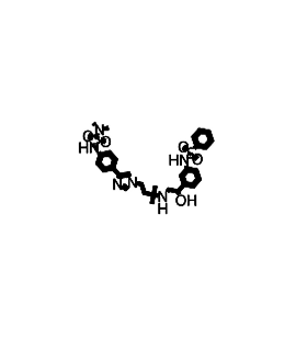 CN(C)S(=O)(=O)Nc1ccc(-c2cn(CCC(C)(C)NCC(O)c3cccc(NS(=O)(=O)c4ccccc4)c3)cn2)cc1